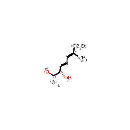 CCOC(=O)/C(C)=C/C=C/[C@H](O)[C@H](C)O